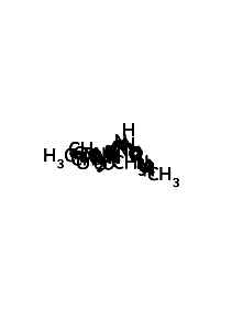 CN1CCN(c2ccc(Nc3ncc4cc(N5CCN(C(=O)OC(C)(C)C)CC5=O)c(=O)n(C)c4n3)cc2)CC1